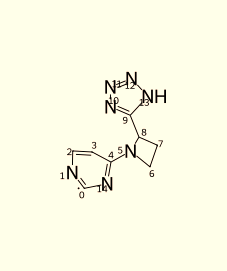 [c]1nccc(N2CCC2c2nnn[nH]2)n1